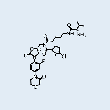 CC(C)[C@H](N)C(=O)NCCCCC(=O)N(C[C@H]1CN(c2ccc(N3CCOCC3=O)cc2F)C(=O)O1)C(=O)C1CC=C(Cl)S1